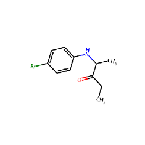 CCC(=O)C(C)Nc1ccc(Br)cc1